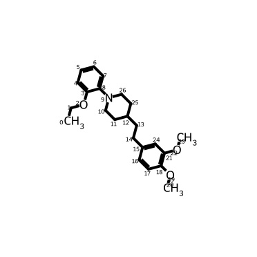 CCOc1ccccc1N1CCC(CCc2ccc(OC)c(OC)c2)CC1